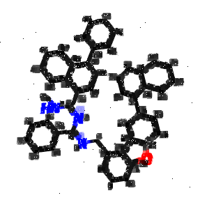 CN/C(=N\C(=N/Cc1cccc2oc3ccc(-c4cccc5ccccc45)cc3c12)c1ccccc1)c1ccc(-c2ccccc2)c2ccccc12